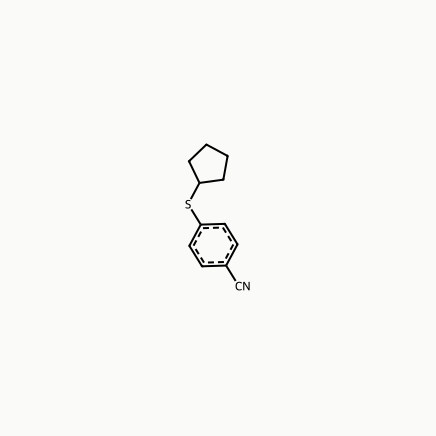 N#Cc1ccc(SC2CCCC2)cc1